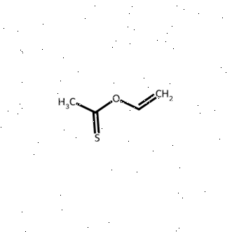 C=COC(C)=S